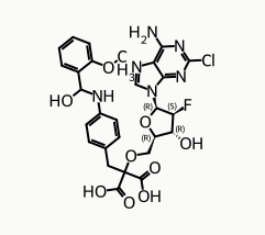 COc1ccccc1C(O)Nc1ccc(CC(OC[C@H]2O[C@@H](n3cnc4c(N)nc(Cl)nc43)[C@@H](F)[C@@H]2O)(C(=O)O)C(=O)O)cc1